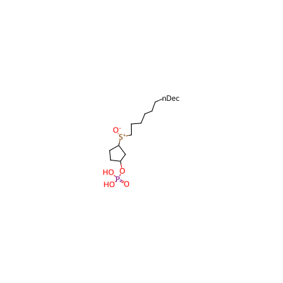 CCCCCCCCCCCCCCCC[S+]([O-])C1CCC(OP(=O)(O)O)C1